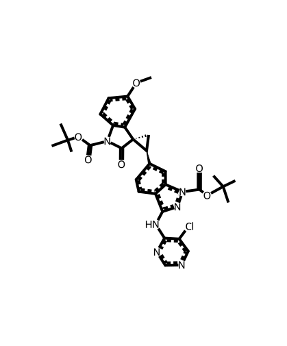 COc1ccc2c(c1)[C@]1(C[C@H]1c1ccc3c(Nc4ncncc4Cl)nn(C(=O)OC(C)(C)C)c3c1)C(=O)N2C(=O)OC(C)(C)C